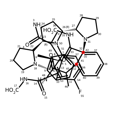 CC(C(N)=O)[C@]1(C)c2ccc(cc2)[C@]1(C(=O)NC(=O)O)N1CCCC1[C@H]1CC[C@H](C2CCCN2[C@@]2(C(=O)NC(=O)O)c3ccc(cc3)[C@@]2(C)C(C)C(N)=O)N1c1ccc(F)cc1